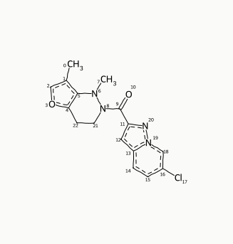 Cc1coc2c1N(C)N(C(=O)c1cc3ccc(Cl)cn3n1)CC2